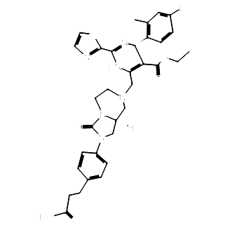 CCOC(=O)C1=C(CN2CCN3C(=O)N(c4ccc(CCC(=O)O)cc4)C[C@@H]3C2)NC(c2nccs2)=N[C@H]1c1ccc(F)cc1Br